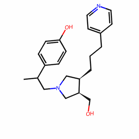 CC(CN1C[C@@H](CCCc2ccncc2)[C@@H](CO)C1)c1ccc(O)cc1